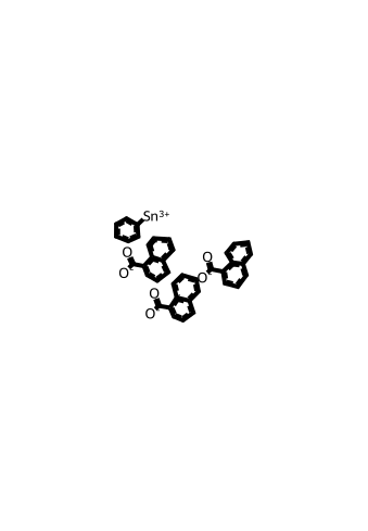 O=C([O-])c1cccc2ccccc12.O=C([O-])c1cccc2ccccc12.O=C([O-])c1cccc2ccccc12.[Sn+3][c]1ccccc1